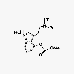 COC(=O)Oc1cccc2[nH]cc(CCN(C(C)C)C(C)C)c12.Cl